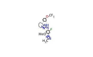 COc1cc(Nc2nc3n(n2)CCCC[C@@H]3c2ccc(OCC(F)(F)F)cc2)c(F)cc1-n1cnc(C)n1